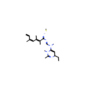 C=C\C(C)=C/C(C)=C(C)/C(=N/SC)/N=C/N(C)C1=CC(CC)N=C(C)N1C